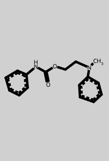 CN(CCOC(=O)Nc1ccccc1)c1ccccc1